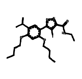 CCCCOc1cc(OCCCC)c(C(C)C)cc1-c1onc(C(=O)NCC)c1I